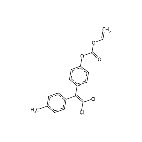 C=COC(=O)Oc1ccc(C(=C(Cl)Cl)c2ccc(C)cc2)cc1